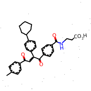 Cc1ccc(C(=O)C=C(C(=O)c2ccc(C(=O)NCCC(=O)O)cc2)c2ccc(C3CCCCC3)cc2)cc1